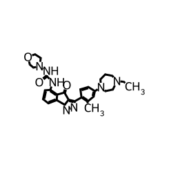 CCN1CCCN(c2ccc(C3=C4C(=O)c5c(NC(=O)NN6CCOCC6)cccc5C4N=N3)c(C)c2)CC1